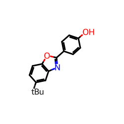 CC(C)(C)c1ccc2oc(-c3ccc(O)cc3)nc2c1